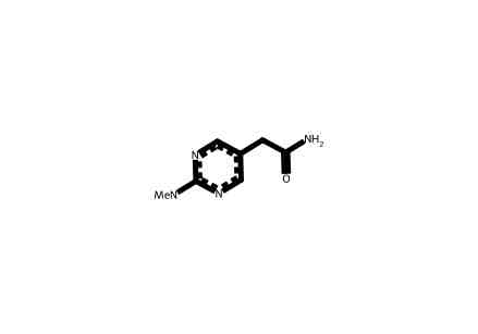 CNc1ncc([CH]C(N)=O)cn1